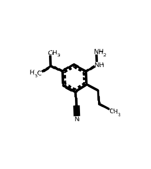 CCCc1c(C#N)cc(C(C)C)cc1NN